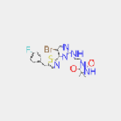 CC1(C)NC(=O)N(CCNc2ncc(Br)c(-c3ncc(Cc4ccc(F)cc4)s3)n2)C1=O